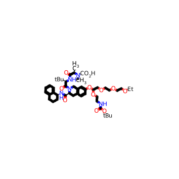 CCOCCOCCOCC(OCCNC(=O)OC(C)(C)C)Oc1ccc2c(c1)CN(C(=O)[C@@H](NC(=O)[C@H](C)N(C)C(=O)O)C(C)(C)C)[C@H](C(=O)N[C@@H]1CCCc3ccccc31)C2